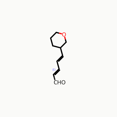 O=C/C=C/C=CC1CCCOC1